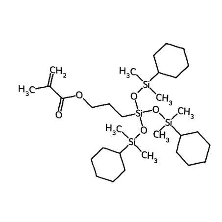 C=C(C)C(=O)OCCC[Si](O[Si](C)(C)C1CCCCC1)(O[Si](C)(C)C1CCCCC1)O[Si](C)(C)C1CCCCC1